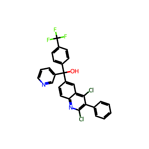 OC(c1ccc(C(F)(F)F)cc1)(c1cccnc1)c1ccc2nc(Cl)c(-c3ccccc3)c(Cl)c2c1